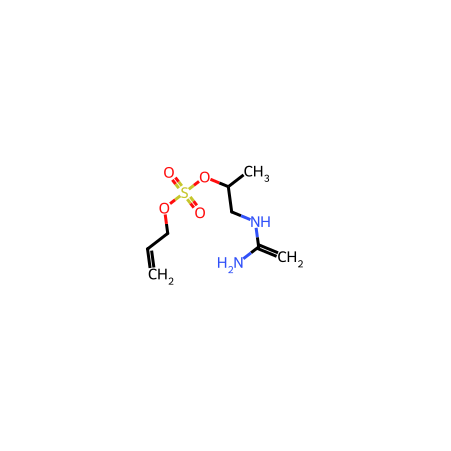 C=CCOS(=O)(=O)OC(C)CNC(=C)N